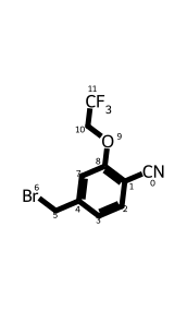 N#Cc1ccc(CBr)cc1OCC(F)(F)F